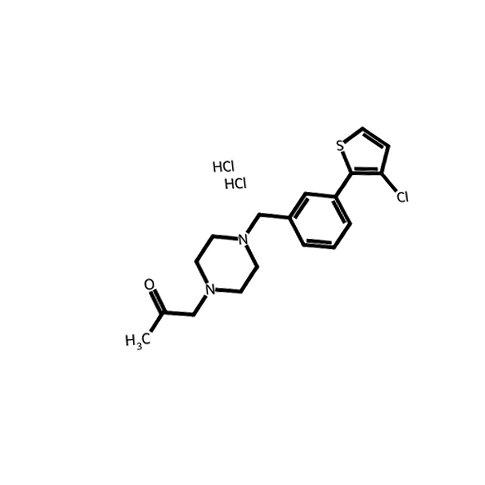 CC(=O)CN1CCN(Cc2cccc(-c3sccc3Cl)c2)CC1.Cl.Cl